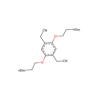 CCCCCCCCCCCCOc1cc(CC#N)c(OCCCCCCCCCCCC)cc1CC#N